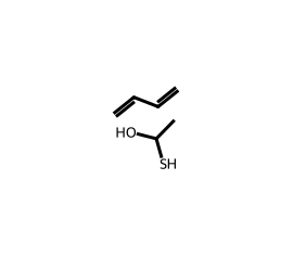 C=CC=C.CC(O)S